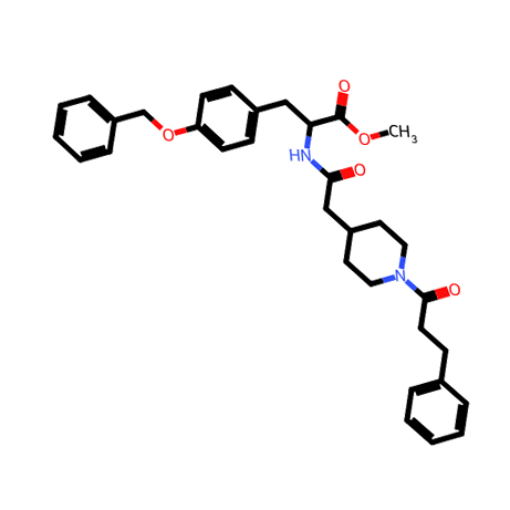 COC(=O)C(Cc1ccc(OCc2ccccc2)cc1)NC(=O)CC1CCN(C(=O)CCc2ccccc2)CC1